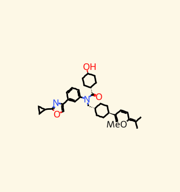 C=C(/C=C\C(OC)=C(C)C)[C@H]1CC[C@H](CN(c2cccc(-c3coc(C4CC4)n3)c2)C(=O)[C@H]2CC[C@H](O)CC2)CC1